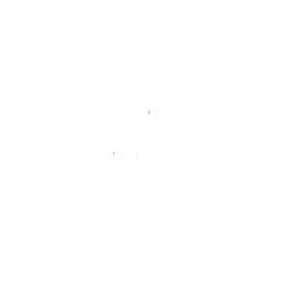 [Ce].[Cu].[La].[MgH2].[Mo].[Ti].[Y]